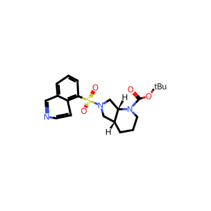 CC(C)(C)OC(=O)N1CCC[C@@H]2CN(S(=O)(=O)c3cccc4cnccc34)C[C@@H]21